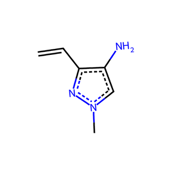 C=Cc1nn(C)cc1N